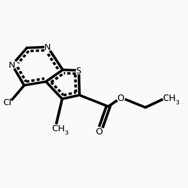 CCOC(=O)c1sc2ncnc(Cl)c2c1C